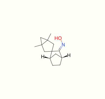 CC12CC3(CC1(C)C2)/C(=N\O)[C@@H]1CC[C@H]3C1